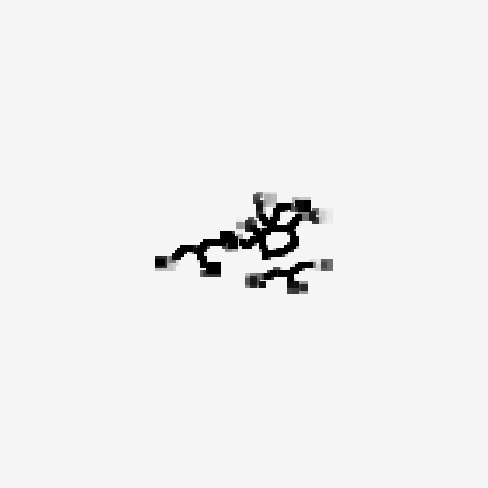 OCC(O)CO.OCC(O)CO.OCC1CCCC(O)(CO)C1(CO)CO